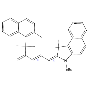 C=C(/C=C/C=C1/N(CCCC)c2ccc3ccccc3c2C1(C)C)C(C)(C)c1c(C)ccc2ccccc12